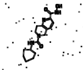 O=C(NO)c1ccc2c(n1)CCN(C(=O)NC1CCCCC1)C2